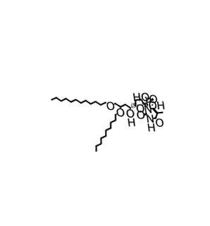 CCCCCCCCCCCCOCC(CC(O)[C@@H]1CC[C@@](n2cc(C)c(=O)[nH]c2=O)(P(=O)(O)O)O1)OCCCCCCCCCC